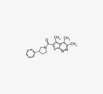 Cc1nnc2sc(C(=O)N3CCC(c4ccccc4)C3)c(C)c2c1C